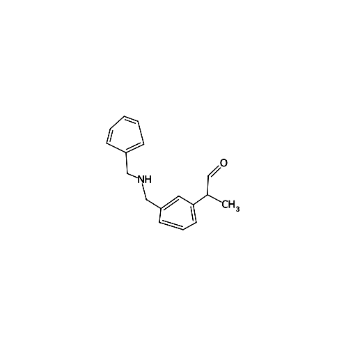 CC(C=O)c1cccc(CNCc2ccccc2)c1